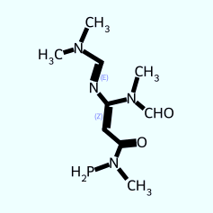 CN(C)/C=N/C(=C/C(=O)N(C)P)N(C)C=O